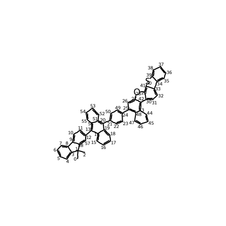 CC1(C)c2ccccc2-c2ccc(-c3c4ccccc4c(-c4ccc(-c5cc6oc7c(ccc8c9ccccc9sc87)c6c6ccccc56)cc4)c4ccccc34)cc21